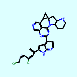 C=C(/C=C(Cl)\C=C/CCl)c1cc2c(-c3nc(N4CCC5NCCCC54)c4c(C5CC5)cncc4n3)ccnc2[nH]1